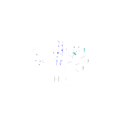 C#Cc1c(F)ccc2cc(CC(=O)O)cc(-c3c(F)c(OC)c4c(N5CC6CCC(C5)N6)nc(OC[C@@]56CCCN5C[C@H](F)C6)nc4c3F)c12